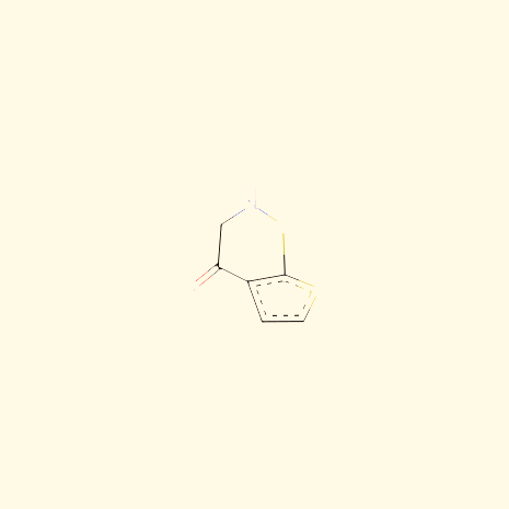 O=C1CNSc2sccc21